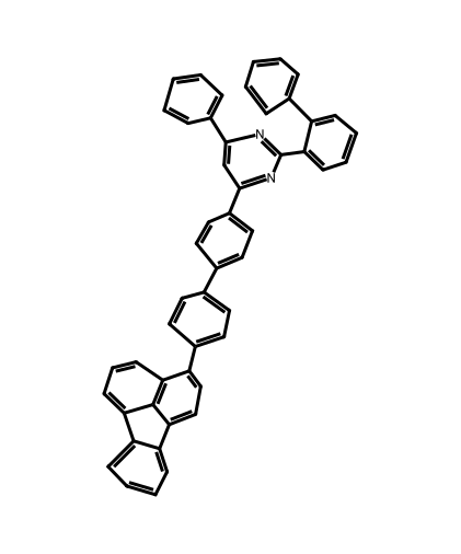 c1ccc(-c2cc(-c3ccc(-c4ccc(-c5ccc6c7c(cccc57)-c5ccccc5-6)cc4)cc3)nc(-c3ccccc3-c3ccccc3)n2)cc1